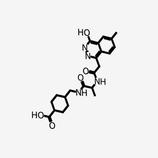 Cc1ccc2c(CC(=O)NC(C)C(=O)NCC3CCC(C(=O)O)CC3)nnc(O)c2c1